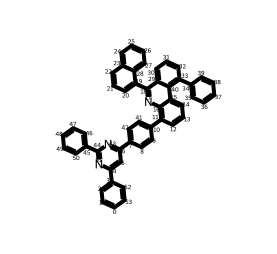 c1ccc(-c2cc(-c3ccc(-c4cccc5c4nc(-c4cccc6ccccc46)c4cccc(-c6ccccc6)c45)cc3)nc(-c3ccccc3)n2)cc1